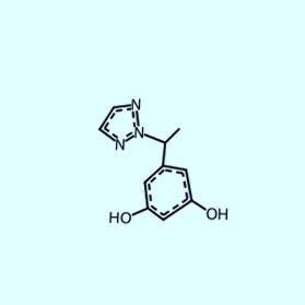 CC(c1cc(O)cc(O)c1)n1nccn1